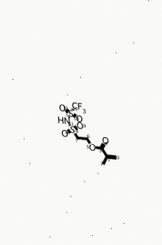 C=C(C)C(=O)OCCS(=O)(=O)NS(=O)(=O)C(F)(F)F